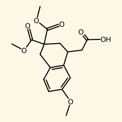 COC(=O)C1(C(=O)OC)Cc2ccc(OC)cc2C(CC(=O)O)C1